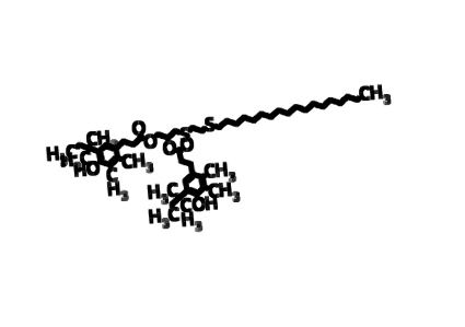 CCCCCCCCCCCCCCCCCCSCCSCC(COC(=O)CCc1cc(C(C)(C)CC)c(O)c(C)c1C)OC(=O)CCc1cc(C(C)(C)CC)c(O)c(C)c1C